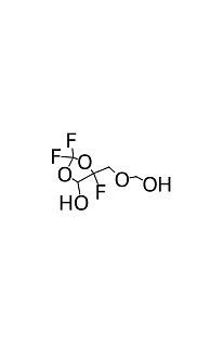 OCOCC1(F)OC(F)(F)OC1O